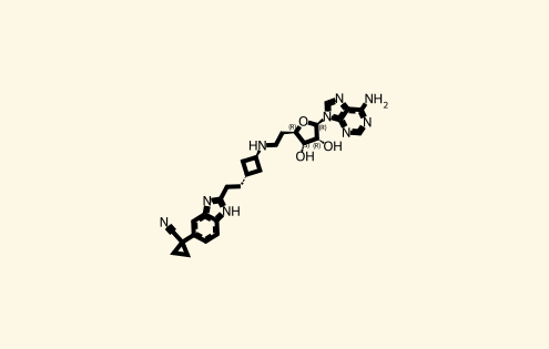 N#CC1(c2ccc3[nH]c(CC[C@H]4C[C@H](NCC[C@H]5O[C@@H](n6cnc7c(N)ncnc76)[C@H](O)[C@@H]5O)C4)nc3c2)CC1